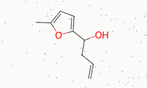 C=CCC(O)c1ccc(C)o1